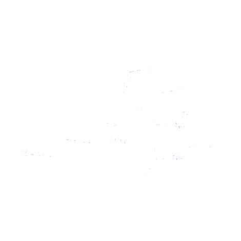 CCCCCCCCCCCCCCCc1cccc(OCC)c1C1NC(=O)NC(C)=C1C(=O)OCC